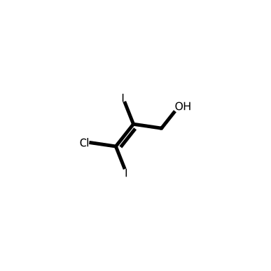 OC/C(I)=C(/Cl)I